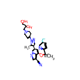 Cc1c(-c2cc(O[C@H](C)c3ccc(F)cn3)c3c(C#N)cnn3c2)cnn1C1CCN(C[C@H](O)CO)CC1